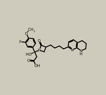 COc1ccc([C@@](O)(CC(=O)O)N2CC(CCCCc3ccc4c(n3)NCCC4)C2=O)cc1F